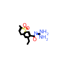 CCc1cc2c(cc1C(=O)N=C(N)N)S(=O)(=O)C(C)=CC2